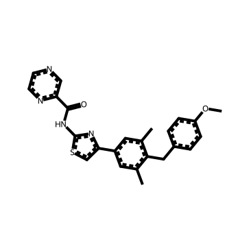 COc1ccc(Cc2c(C)cc(-c3csc(NC(=O)c4cnccn4)n3)cc2C)cc1